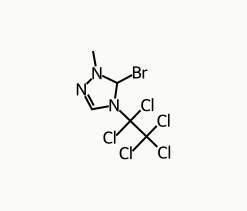 CN1N=CN(C(Cl)(Cl)C(Cl)(Cl)Cl)C1Br